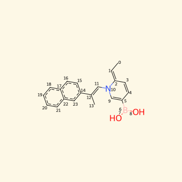 CC=C1C=CC(B(O)O)=CN1/C=C(\C)c1ccc2ccccc2c1